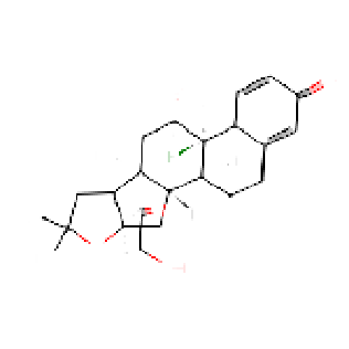 CC1(C)C[C@]2(C(=O)CO)[C@@H](C[C@H]3[C@@H]4CCC5=CC(=O)C=C[C@]5(C)[C@@]4(F)[C@@H](O)C[C@@]32C)O1